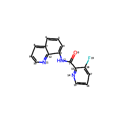 O=C(Nc1cccc2cccnc12)c1ncccc1F